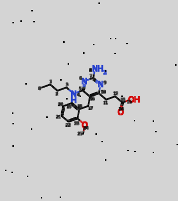 CCCCNc1nc(N)nc(CCC(=O)O)c1Cc1ccccc1OC